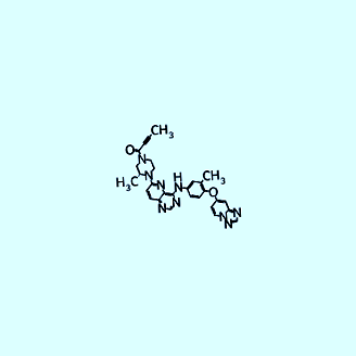 CC#CC(=O)N1CCN(c2ccc3ncnc(Nc4ccc(Oc5ccn6ncnc6c5)c(C)c4)c3n2)[C@H](C)C1